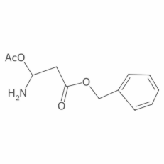 CC(=O)OC(N)CC(=O)OCc1ccccc1